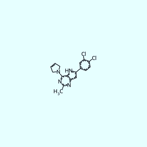 Cc1nc(N2CC=CC2)c2[nH]c(-c3ccc(Cl)c(Cl)c3)cc2n1